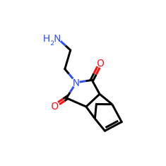 NCCN1C(=O)C2C3C=CC(C3)C2C1=O